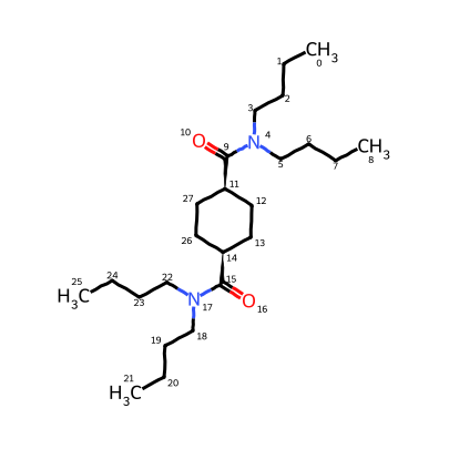 CCCCN(CCCC)C(=O)[C@H]1CC[C@@H](C(=O)N(CCCC)CCCC)CC1